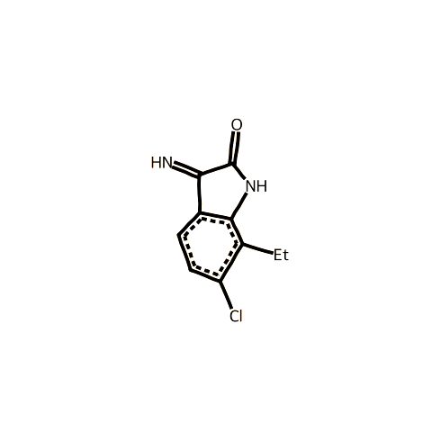 CCc1c(Cl)ccc2c1NC(=O)C2=N